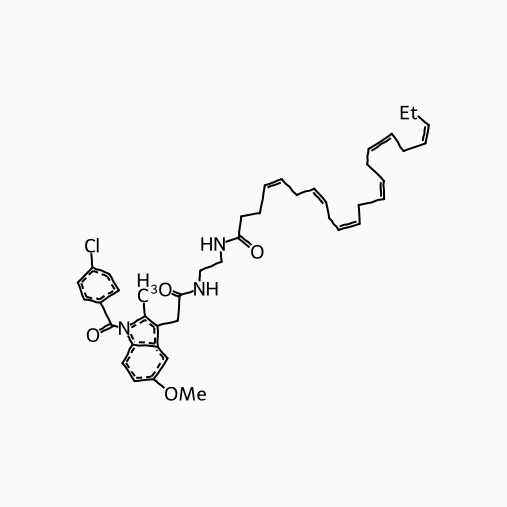 CC/C=C\C/C=C\C/C=C\C/C=C\C/C=C\C/C=C\CCC(=O)NCCNC(=O)Cc1c(C)n(C(=O)c2ccc(Cl)cc2)c2ccc(OC)cc12